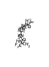 CC(NC(=O)c1nc(-c2cn3cc(NC(=O)C4CC4)nc3cn2)cs1)C(F)(F)F